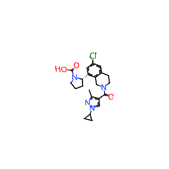 Cc1nn(C2CC2)cc1C(=O)N1CCc2cc(Cl)cc([C@@H]3CCCN3C(=O)O)c2C1